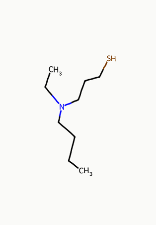 CCCCN(CC)CCCS